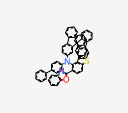 c1ccc(-c2ccc(N(c3ccc4c(c3)C3(c5ccccc5-c5ccccc53)c3ccccc3-4)c3c(-c4nc5ccccc5o4)ccc4sc5cc6ccccc6cc5c34)cc2)cc1